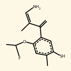 C=C(/C(C)=C\N)c1cc(S)c(C)cc1OC(C)F